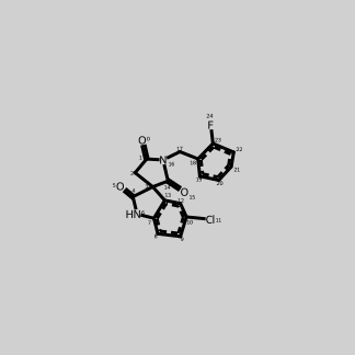 O=C1CC2(C(=O)Nc3ccc(Cl)cc32)C(=O)N1Cc1ccccc1F